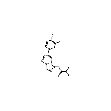 Cc1cc(-c2cnc3cnn(CC(=O)C(C)C)c3c2)ccc1F